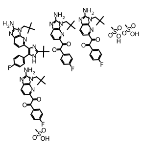 CC(C)(C)Cn1c(N)nc2ccc(-c3nc(C(C)(C)C)[nH]c3-c3ccc(F)cc3)nc21.CC(C)(C)Cn1c(N)nc2ccc(C(=O)C(=O)c3ccc(F)cc3)nc21.CC(C)(C)Cn1c(N)nc2ccc(C(=O)C(=O)c3ccc(F)cc3)nc21.CC(C)(C)Cn1c(N)nc2ccc(C(=O)C(=O)c3ccc(F)cc3)nc21.CS(=O)(=O)O.CS(=O)(=O)O.CS(=O)(=O)O